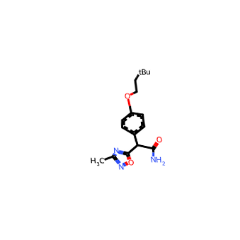 Cc1noc(C(C(N)=O)c2ccc(OCCC(C)(C)C)cc2)n1